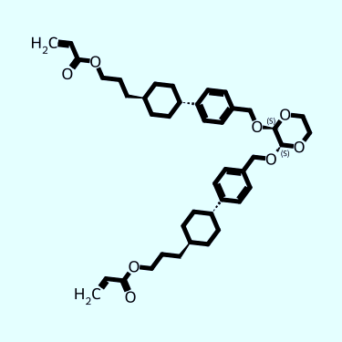 C=CC(=O)OCCC[C@H]1CC[C@H](c2ccc(CO[C@H]3OCCO[C@@H]3OCc3ccc([C@H]4CC[C@H](CCCOC(=O)C=C)CC4)cc3)cc2)CC1